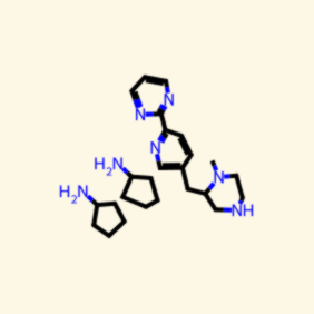 CN1CCNCC1Cc1ccc(-c2ncccn2)nc1.NC1CCCC1.NC1CCCC1